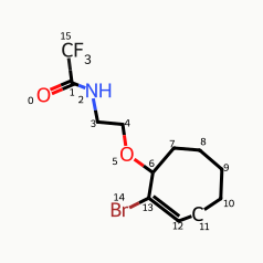 O=C(NCCOC1CCCCC/C=C\1Br)C(F)(F)F